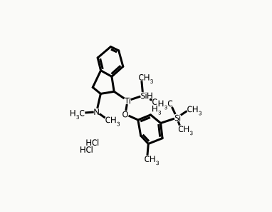 Cc1cc([O][Ti]([CH]2c3ccccc3CC2N(C)C)[SiH](C)C)cc([Si](C)(C)C)c1.Cl.Cl